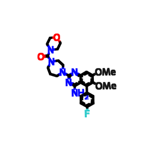 COc1cc2nc(N3CCCN(C(=O)N4CCOCC4)CC3)nc(N)c2c(-c2ccc(F)cc2)c1OC